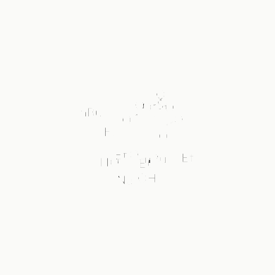 CCCCC(CC)COC(=O)CC(C(=O)OCC(CC)CCCC)S(=O)(=O)[O-].CCOCC.OCCO.[Na+]